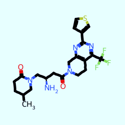 CC1CCC(=O)N(C[C@H](N)CC(=O)N2CCc3c(nc(-c4ccsc4)nc3C(F)(F)F)C2)C1